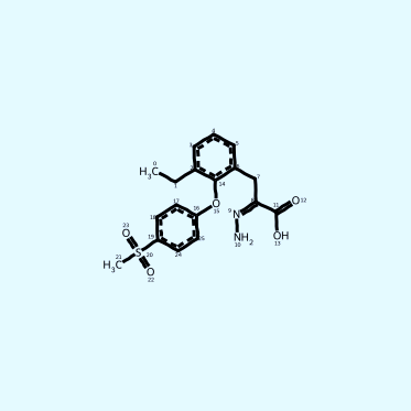 CCc1cccc(CC(=NN)C(=O)O)c1Oc1ccc(S(C)(=O)=O)cc1